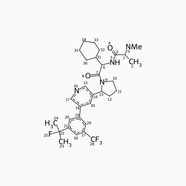 CNC(C)C(=O)NC(C(=O)N1CCCC1c1cncc(-c2cc(C(C)(C)F)cc(C(F)(F)F)c2)c1)C1CCCCC1